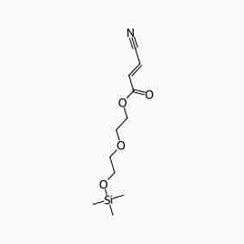 C[Si](C)(C)OCCOCCOC(=O)C=CC#N